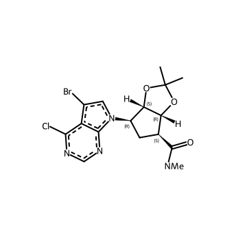 CNC(=O)[C@H]1C[C@@H](n2cc(Br)c3c(Cl)ncnc32)[C@@H]2OC(C)(C)O[C@@H]21